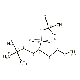 CCCCN(CCC(C)(C)C)S(=O)(=O)CC(C)(F)F